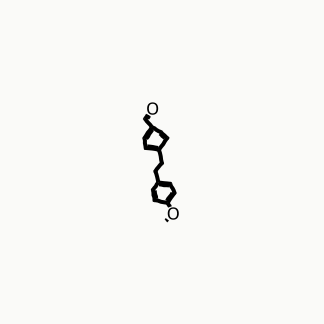 COc1ccc(CCc2ccc(C=O)cc2)cc1